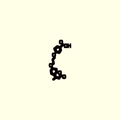 Cc1cc(=O)oc2cc(OCCCOc3ccc(C(=O)O)cc3)ccc12